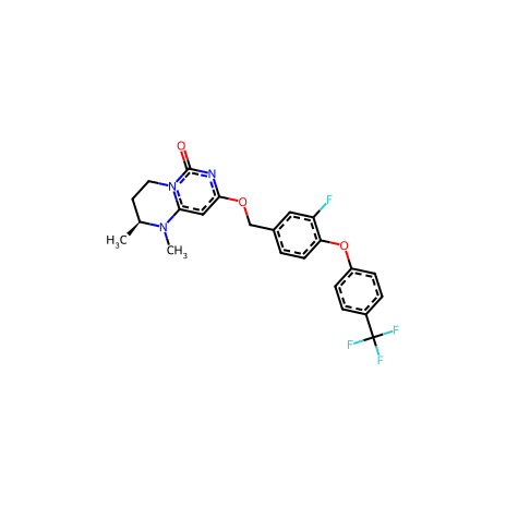 C[C@H]1CCn2c(cc(OCc3ccc(Oc4ccc(C(F)(F)F)cc4)c(F)c3)nc2=O)N1C